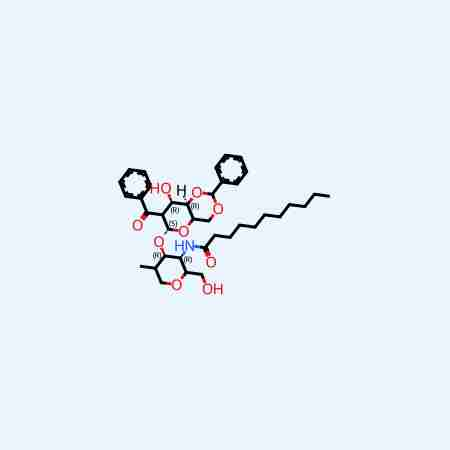 CCCCCCCCCCC(=O)N[C@H]1C(CO)OCC(C)[C@H]1O[C@H]1OC2COC(c3ccccc3)O[C@@H]2[C@H](O)C1C(=O)c1ccccc1